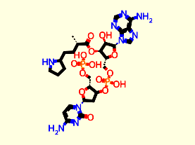 C[C@@H](CCC1CCCN1)C(=O)O[C@H]1[C@@H](O)[C@H](n2cnc3c(N)ncnc32)O[C@@H]1COP(=O)(O)OC1C[C@H](n2ccc(N)nc2=O)O[C@@H]1COP(=O)(O)O